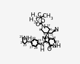 CC(C)(C)OC(=O)N1CCC(CC#N)(n2nc(Nc3ccc([C@H]4CCCN4)cc3)c3c(=O)[nH]ccc32)CC1